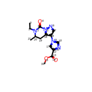 CCN1C(=O)n2ncc(-n3cnc(C(=O)OC)c3)c2CC1C